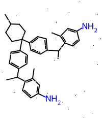 Cc1cc(N)ccc1C(C)c1ccc(C2(c3ccc(C(C)c4ccc(N)cc4C)cc3)CCC(C)CC2)cc1